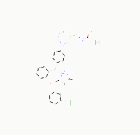 CC(=O)NCC1CN(c2ccc(C(c3ccccc3)N3NC(=O)C(Sc4ccccc4Cl)C3=O)cc2)CCO1